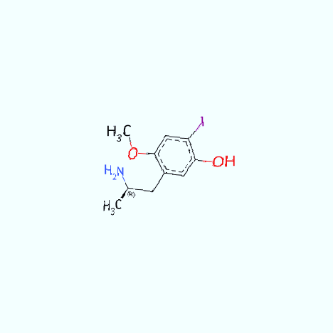 COc1cc(I)c(O)cc1C[C@@H](C)N